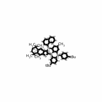 Cc1cc2c3c(c1)N(c1cccc4ccccc14)c1c(sc4cc5c(cc14)C(C)(C)CCC5(C)C)B3c1cc(C(C)(C)C)ccc1N2c1ccc(C(C)(C)C)cc1